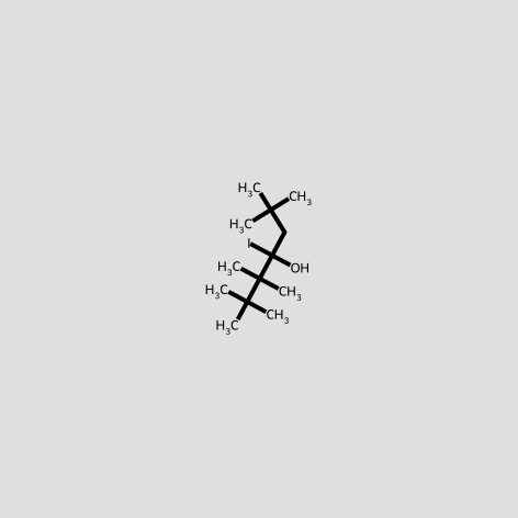 CC(C)(C)CC(O)(I)C(C)(C)C(C)(C)C